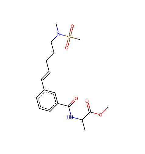 COC(=O)C(C)NC(=O)c1cccc(C=CCCCN(C)S(C)(=O)=O)c1